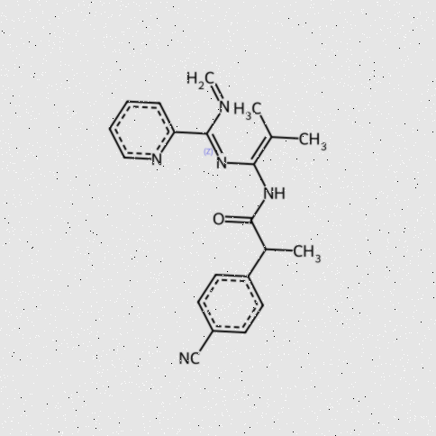 C=N/C(=N\C(NC(=O)C(C)c1ccc(C#N)cc1)=C(C)C)c1ccccn1